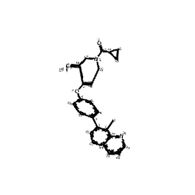 Cc1c(-c2ccc(OC3CCN(C(=O)C4CC4)CC3F)cc2)ccc2cccnc12